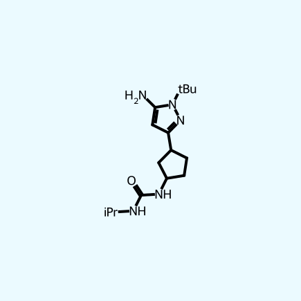 CC(C)NC(=O)NC1CCC(c2cc(N)n(C(C)(C)C)n2)C1